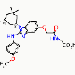 C[C@H]1C[C@@H](n2c(Nc3ccc(OC(F)(F)F)cc3)nc3cc(OCC(=O)NCC(=O)O)ccc32)CC(C)(C)C1